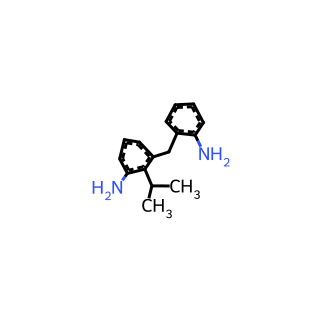 CC(C)c1c(N)cccc1Cc1ccccc1N